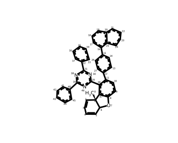 C[C@]12C=CC=CC1Oc1ccc(-c3ccc(-c4cccc5ccccc45)cc3)c(-c3nc(-c4ccccc4)nc(-c4ccccc4)n3)c12